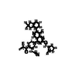 C=C(F)C(=O)N1CCN(c2nc(OC[C@@H]3CCCN3C)nc3c(F)c(-c4cccc5c4CC(C)(C)C5)ncc23)C[C@@H]1CC#N